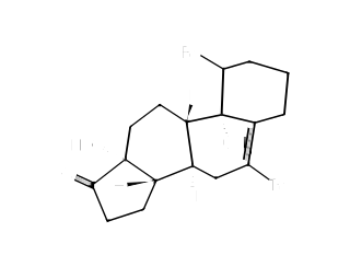 C[C@]12CC[C@H]3[C@@H](CC(Br)=C4CCCC(Br)[C@@]43C)[C@@H]1CCC2=O